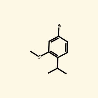 CSc1cc(Br)ccc1C(C)C